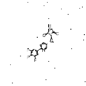 O=C1CNC(=O)N1[C@H]1C[C@@H]1c1ccc(-c2cc(F)c(F)c(F)c2)nc1